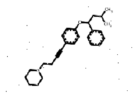 C[C](C)CC(Oc1ccc(C#CCCN2CCCCC2)cc1)c1ccccc1